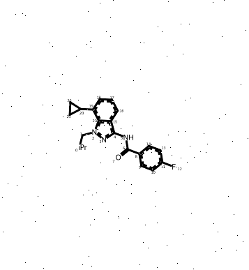 CC(C)Cn1nc(NC(=O)c2ccc(F)cc2)c2cccc(C3CC3)c21